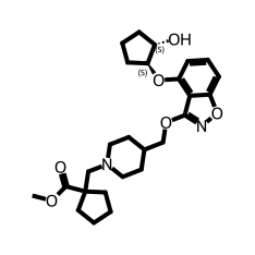 COC(=O)C1(CN2CCC(COc3noc4cccc(O[C@H]5CCC[C@@H]5O)c34)CC2)CCCC1